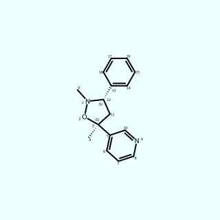 CN1O[C@](C)(c2cccnc2)C[C@H]1c1ccccc1